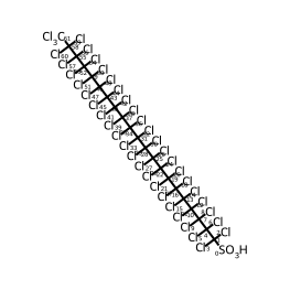 O=S(=O)(O)C(Cl)(Cl)C(Cl)(Cl)C(Cl)(Cl)C(Cl)(Cl)C(Cl)(Cl)C(Cl)(Cl)C(Cl)(Cl)C(Cl)(Cl)C(Cl)(Cl)C(Cl)(Cl)C(Cl)(Cl)C(Cl)(Cl)C(Cl)(Cl)C(Cl)(Cl)C(Cl)(Cl)C(Cl)(Cl)C(Cl)(Cl)C(Cl)(Cl)C(Cl)(Cl)C(Cl)(Cl)C(Cl)(Cl)Cl